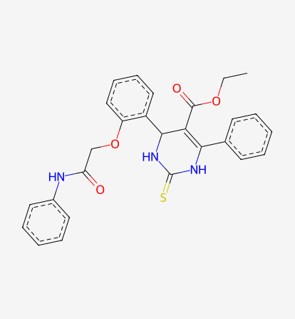 CCOC(=O)C1=C(c2ccccc2)NC(=S)NC1c1ccccc1OCC(=O)Nc1ccccc1